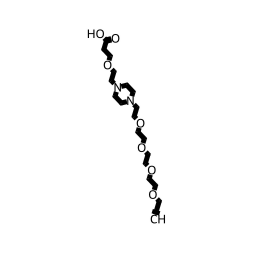 C#CCOCCOCCOCCOCCN1CCN(CCOCCC(=O)O)CC1